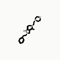 CC1=C2CN(CCc3ccccc3)NC2=CCN1CCN1CCOCC1